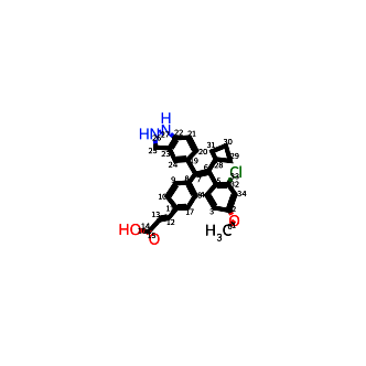 COc1ccc(/C(=C(\c2ccc(/C=C/C(=O)O)cc2)c2ccc3c(c2)CNN3)C2CCC2)c(Cl)c1